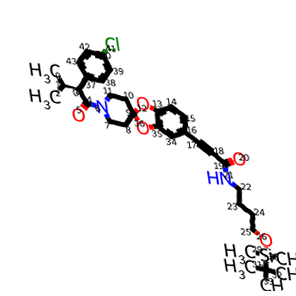 CC(C)[C@H](C(=O)N1CCC2(CC1)Oc1ccc(C#CC(=O)NCCCCO[Si](C)(C)C(C)(C)C)cc1O2)c1ccc(Cl)cc1